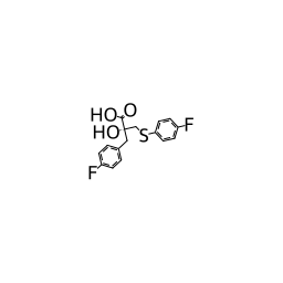 O=C(O)[C@@](O)(CSc1ccc(F)cc1)Cc1ccc(F)cc1